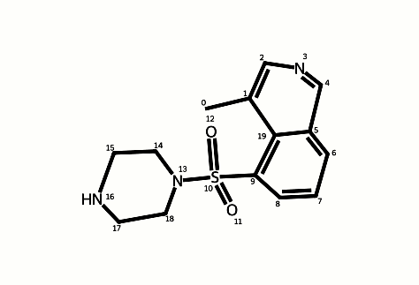 Cc1cncc2cccc(S(=O)(=O)N3CCNCC3)c12